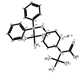 CC(C)(C)N(C(=O)O)[C@H]1CC[C@@H](O[Si](c2ccccc2)(c2ccccc2)C(C)(C)C)C[C@@H]1F